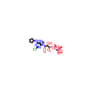 CO[C@H](COP(=O)(O)CP(=O)(O)OC)[C@@H](O)[C@@H](O)n1cnc2c(NC3CCCC3)nc(Cl)nc21